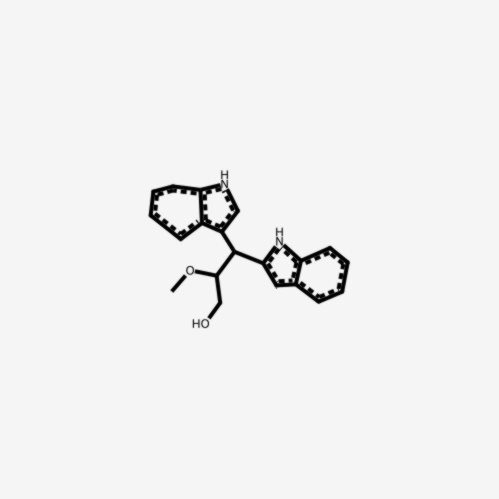 COC(CO)C(c1[c]c2ccccc2[nH]1)c1c[nH]c2ccccc12